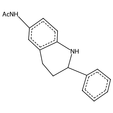 CC(=O)Nc1ccc2c(c1)CCC(c1ccccc1)N2